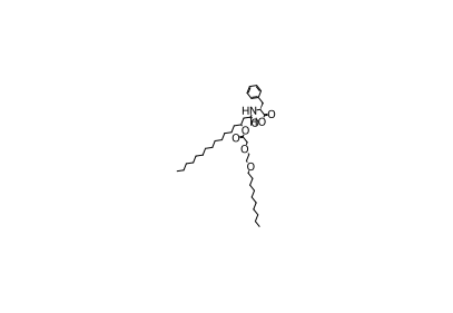 CCCCCCCCCCCCCC(CC(=O)N[C@@H](Cc1ccccc1)C(=O)O)OC(=O)COCCOCCCCCCCCCC